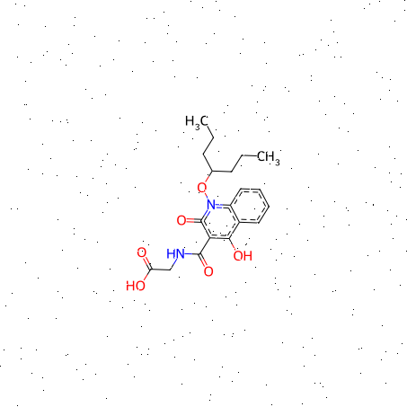 CCCC(CCC)On1c(=O)c(C(=O)NCC(=O)O)c(O)c2ccccc21